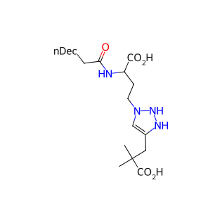 CCCCCCCCCCCC(=O)NC(CCN1C=C(CC(C)(C)C(=O)O)NN1)C(=O)O